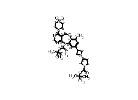 Cc1cc(C2CN([C@@H]3CCN(C(=O)OC(C)(C)C)C3)C2)cc2c1OCc1c(N3CCS(=O)(=O)CC3)ncnc1N2C(=O)OC(C)(C)C